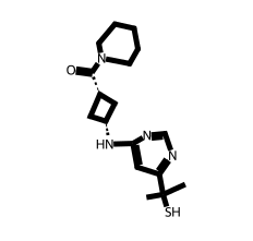 CC(C)(S)c1cc(N[C@H]2C[C@@H](C(=O)N3CCCCC3)C2)ncn1